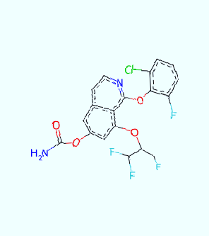 NC(=O)Oc1cc(OC(CF)C(F)F)c2c(Oc3c(F)cccc3Cl)nccc2c1